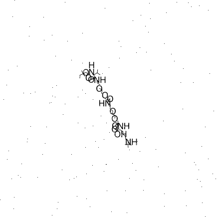 CCC(C)(C)OC(=O)NC(C(=O)NCCOCCOCC(=O)NCCOCCOCC(=O)NC(CCCCNC(C)(C)C)C(=O)O)C(C)C